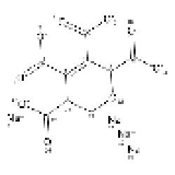 O=C([O-])C1=C(C(=O)[O-])C(C(=O)[O-])OCC1C(=O)[O-].[Na+].[Na+].[Na+].[Na+]